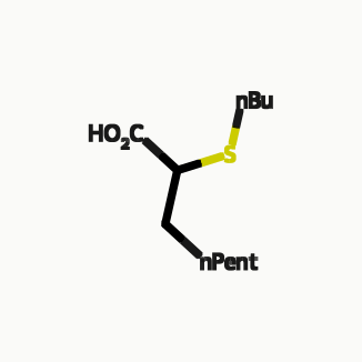 CCCCCCC(SCCCC)C(=O)O